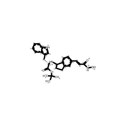 CC(C)(C)OC(=O)[C@H](Cc1c[nH]c2ccccc12)NC1CCc2cc(C=CC(=O)NO)ccc21